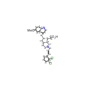 COc1ccc2nccc(CCC[C@@H]3CCN(CC#Cc4cccc(Cl)c4Cl)C[C@@H]3CCC(=O)O)c2c1